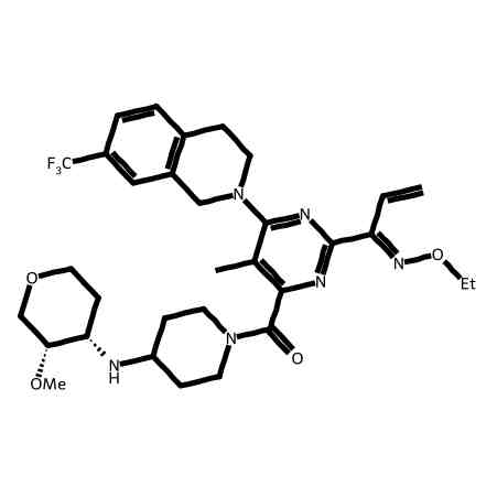 C=C/C(=N\OCC)c1nc(C(=O)N2CCC(N[C@H]3CCOC[C@H]3OC)CC2)c(C)c(N2CCc3ccc(C(F)(F)F)cc3C2)n1